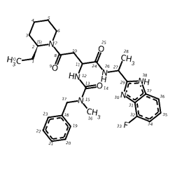 CC[C@H]1CCCCN1C(=O)CC(NC(=O)N(C)Cc1ccccc1)C(=O)NC(C)c1nc2c(F)cccc2[nH]1